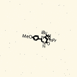 CCCn1nc(C(C)CC)c2c1C(=O)NCC(c1ccc(OC)cc1)=N2